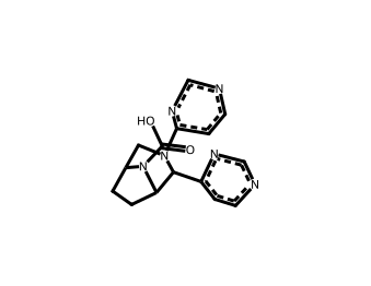 O=C(O)N1C2CCC1C(c1ccncn1)N(c1ccncn1)C2